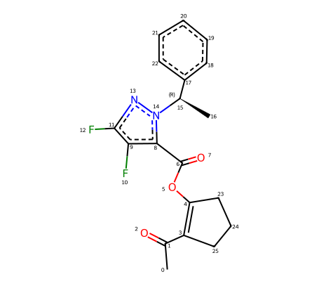 CC(=O)C1=C(OC(=O)c2c(F)c(F)nn2[C@H](C)c2ccccc2)CCC1